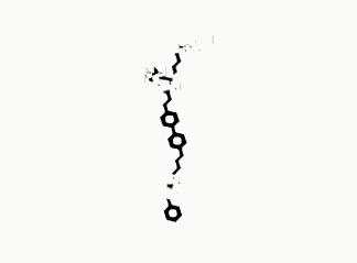 O=C(O)NCCCC[C@H](NC(=O)CCc1ccc(-c2ccc(CCCCNC(=O)OCc3ccccc3)cc2)cc1)c1nnn[nH]1